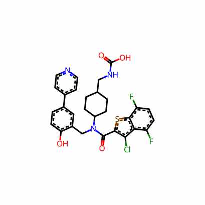 O=C(O)NCC1CCC(N(Cc2cc(-c3ccncc3)ccc2O)C(=O)c2sc3c(F)ccc(F)c3c2Cl)CC1